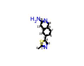 Cc1ncc(-c2ccc3cnc(N)cc3c2)s1